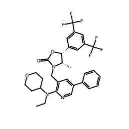 CCN(c1ncc(-c2ccccc2)cc1CN1C(=O)O[C@H](c2cc(C(F)(F)F)cc(C(F)(F)F)c2)[C@@H]1C)C1CCOCC1